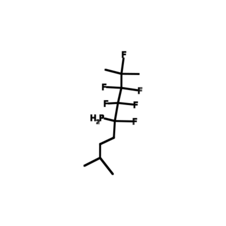 CC(C)CCC(F)(P)C(F)(F)C(F)(F)C(C)(C)F